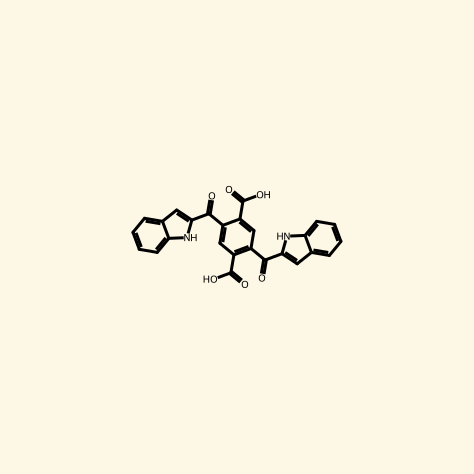 O=C(O)c1cc(C(=O)c2cc3ccccc3[nH]2)c(C(=O)O)cc1C(=O)c1cc2ccccc2[nH]1